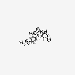 COc1ccc(C2Cc3cc(Cl)ccc3NC(=O)C2O)cc1